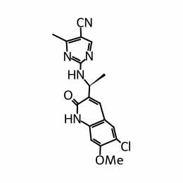 COc1cc2[nH]c(=O)c([C@H](C)Nc3ncc(C#N)c(C)n3)cc2cc1Cl